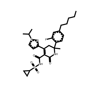 CCCCCc1ccc(C2(C)CC(c3ccn(C(C)C)n3)=C(C(=O)NS(=O)(=O)C3CC3)C(=O)N2)c(F)c1